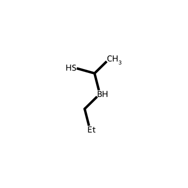 CCCBC(C)S